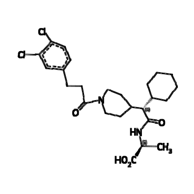 C[C@H](NC(=O)[C@@H](C1CCCCC1)C1CCN(C(=O)CCc2ccc(Cl)c(Cl)c2)CC1)C(=O)O